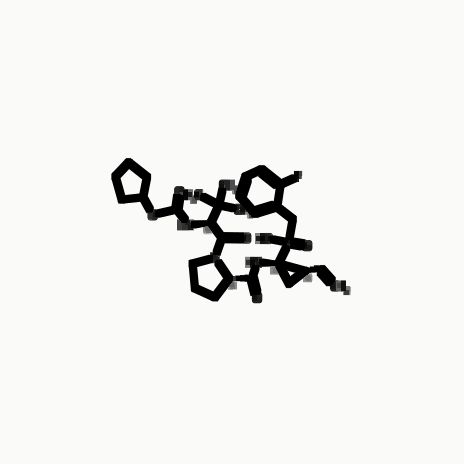 C=C[C@@H]1C[C@]1(NC(=O)[C@@H]1CCCN1C(=O)[C@@H](NC(=O)OC1CCCC1)C(C)(C)C)P(=O)(O)Cc1ccccc1F